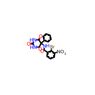 O=C1NC(=O)C(NC(=O)c2cccc([N+](=O)[O-])c2Br)(c2ccccc2)C(=O)N1